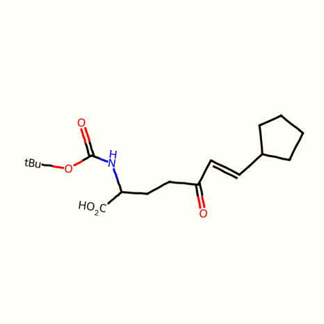 CC(C)(C)OC(=O)NC(CCC(=O)C=CC1CCCC1)C(=O)O